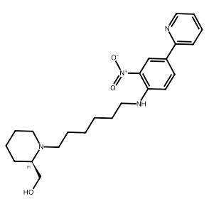 O=[N+]([O-])c1cc(-c2ccccn2)ccc1NCCCCCCN1CCCC[C@@H]1CO